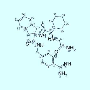 N=C(N)c1ccc(CNC(=O)C2(NC(=O)[C@H](NCC(N)=O)C3CCCCC3)Cc3ccccc3C2)cc1